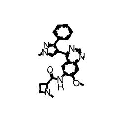 COc1cc2ncnc(-c3cn(C)nc3-c3ccccc3)c2cc1NC(=O)C1CCN1C